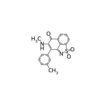 CNC1=C(c2cccc(C)c2)C2=NS(=O)(=O)c3cccc(c32)C1=O